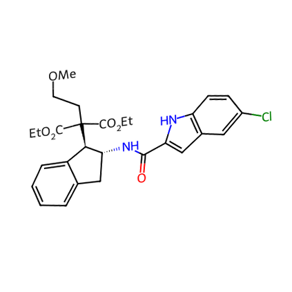 CCOC(=O)C(CCOC)(C(=O)OCC)[C@@H]1c2ccccc2C[C@H]1NC(=O)c1cc2cc(Cl)ccc2[nH]1